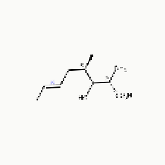 C/C=C/C[C@@H](C)C(O)[C@H](N)C(=O)O